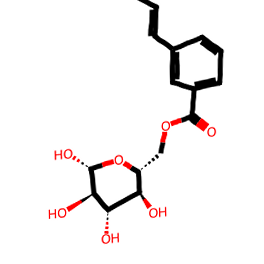 C/C=C/c1cccc(C(=O)OC[C@H]2O[C@@H](O)[C@H](O)[C@@H](O)[C@@H]2O)c1